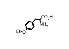 CCOc1ccc(CC(N)C(=O)O)cc1